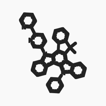 CC1(C)c2ccccc2-c2c1c1c3ccccc3n(-c3ccccc3)c1c1c3ccccc3n(-c3ccc(-c4ccccn4)nc3)c21